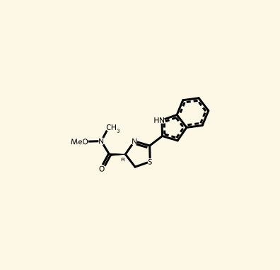 CON(C)C(=O)[C@@H]1CSC(c2cc3ccccc3[nH]2)=N1